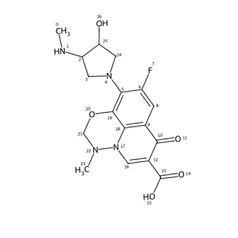 CNC1CN(c2c(F)cc3c(=O)c(C(=O)O)cn4c3c2OCN4C)CC1O